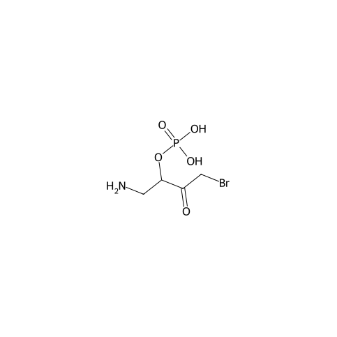 NCC(OP(=O)(O)O)C(=O)CBr